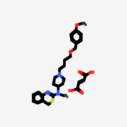 COc1ccc(COCCCCN2CCC(N(C)C3=Nc4ccccc4CS3)CC2)cc1.O=C(O)/C=C/C(=O)O